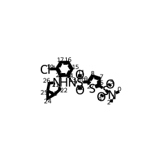 CN(C)S(=O)(=O)c1ccc(S(=O)(=O)Nc2cccc(Cl)c2N2CC3CC3C2)s1